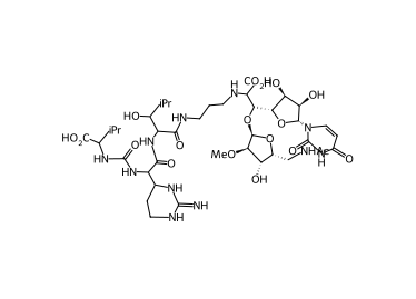 CO[C@H]1[C@@H](OC(C(NCCCNC(=O)C(NC(=O)C(NC(=O)NC(C(=O)O)C(C)C)C2CCNC(=N)N2)C(O)C(C)C)C(=O)O)[C@H]2O[C@@H](n3ccc(=O)[nH]c3=O)[C@H](O)[C@@H]2O)O[C@H](CNC(C)=O)[C@@H]1O